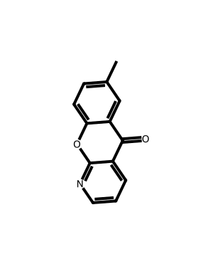 Cc1ccc2oc3ncccc3c(=O)c2c1